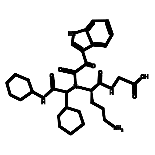 NCCC[C@H](C(=O)NCC(=O)O)N(C(=O)C(=O)c1c[nH]c2ccccc12)C(C(=O)NC1CCCCC1)C1CCCCC1